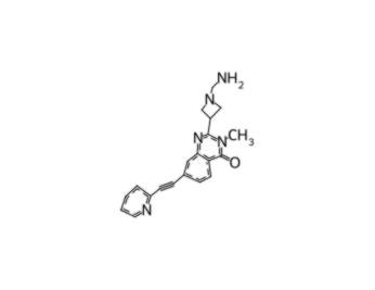 Cn1c(C2CN(CN)C2)nc2cc(C#Cc3ccccn3)ccc2c1=O